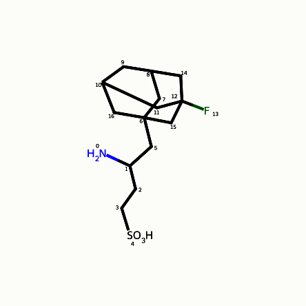 NC(CCS(=O)(=O)O)CC12CC3CC(CC(F)(C3)C1)C2